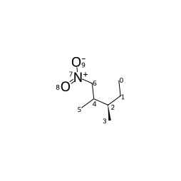 CC[C@@H](C)C(C)C[N+](=O)[O-]